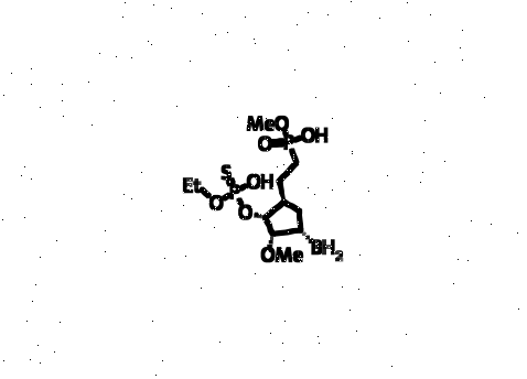 B[C@H]1C[C@H](CCP(=O)(O)OC)[C@@H](OP(O)(=S)OCC)[C@H]1OC